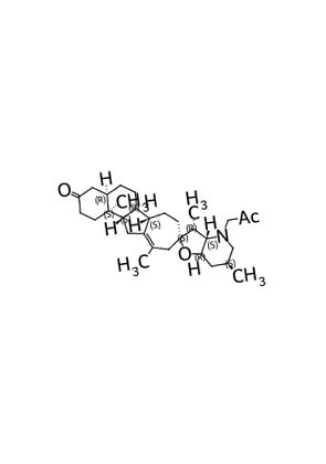 CC(=O)CN1C[C@@H](C)C[C@H]2O[C@]3(CC[C@@H]4C(=C(C)C3)C[C@H]3[C@H]4CC[C@@H]4CC(=O)CC[C@@]43C)[C@H](C)[C@@H]21